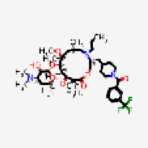 CCCN1C[C@H](C)C[C@@](C)(OC)[C@H](O[C@@H]2O[C@H](C)C[C@H](N(C)C)[C@H]2O)[C@@H](C)C(=O)C(C)(C)C(=O)OC[C@H]1CC1CCN(C(=O)c2cccc(C(F)(F)F)c2)CC1